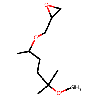 CC(CCC(C)(C)O[SiH3])OCC1CO1